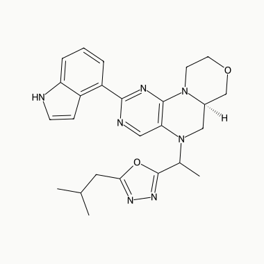 CC(C)Cc1nnc(C(C)N2C[C@@H]3COCCN3c3nc(-c4cccc5[nH]ccc45)ncc32)o1